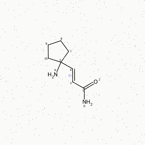 NC(=O)/C=C/C1(N)CCCC1